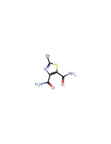 CCc1nc(C(N)=O)c(C(N)=O)s1